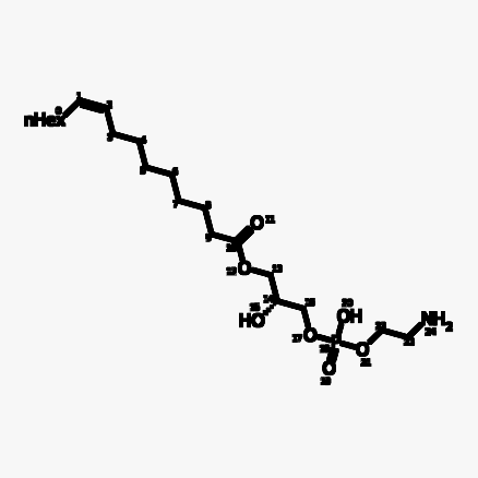 CCCCCC/C=C\CCCCCCCC(=O)OC[C@@H](O)COP(=O)(O)OCCN